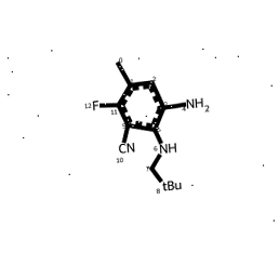 Cc1cc(N)c(NCC(C)(C)C)c(C#N)c1F